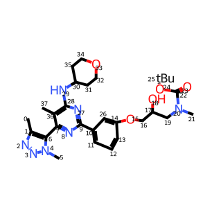 Cc1nnn(C)c1-c1nc(-c2cccc(OCC(O)CN(C)C(=O)OC(C)(C)C)c2)nc(NC2CCOCC2)c1C